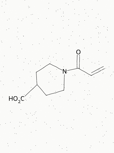 C=CC(=O)N1CCC(C(=O)O)CC1